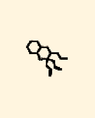 C=CCC1CC2CCCCC2[N]C1(CC=C)CC=C